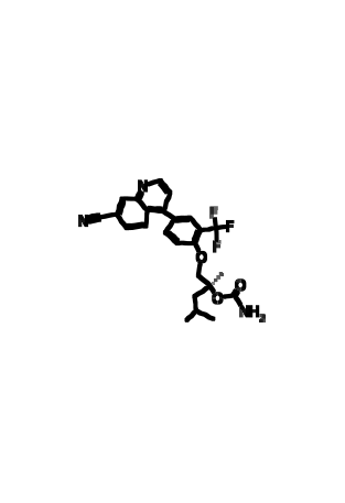 CC(C)C[C@@](C)(COc1ccc(-c2ccnc3cc(C#N)ccc23)cc1C(F)(F)F)OC(N)=O